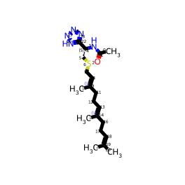 CC(=O)N[C@H](CSC/C=C(\C)CC/C=C(\C)CCC=C(C)C)c1nnn[nH]1